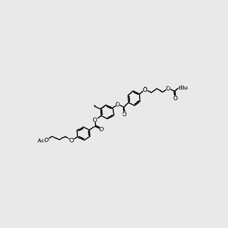 CC(=O)OCCCOc1ccc(C(=O)Oc2ccc(OC(=O)c3ccc(OCCCOC(=O)C(C)(C)C)cc3)cc2C)cc1